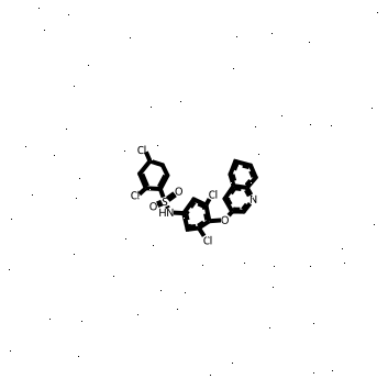 O=S(=O)(Nc1cc(Cl)c(Oc2cnc3ccccc3c2)c(Cl)c1)C1=CCC(Cl)C=C1Cl